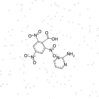 Nc1ncccn1.O=C(O)c1c([N+](=O)[O-])cc([N+](=O)[O-])cc1[N+](=O)[O-]